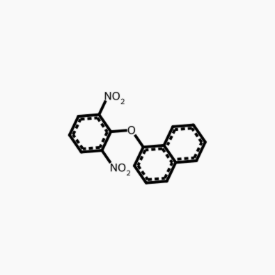 O=[N+]([O-])c1cccc([N+](=O)[O-])c1Oc1cccc2ccccc12